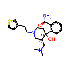 CN(C)C[C@H]1CN(CCc2ccsc2)CC[C@]1(O)c1ccccc1C(N)=O